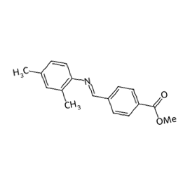 COC(=O)c1ccc(/C=N/c2ccc(C)cc2C)cc1